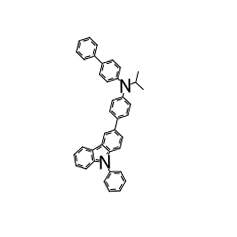 CC(C)N(c1ccc(-c2ccccc2)cc1)c1ccc(-c2ccc3c(c2)c2ccccc2n3-c2ccccc2)cc1